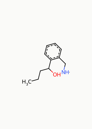 CCCC(O)c1ccccc1C[NH]